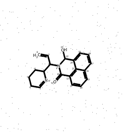 C=CC(C1CCCC=N1)N1C(=O)c2cccc3cccc(c23)C1O